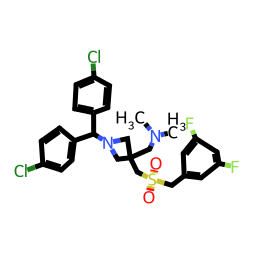 CN(C)CC1(CS(=O)(=O)Cc2cc(F)cc(F)c2)CN(C(c2ccc(Cl)cc2)c2ccc(Cl)cc2)C1